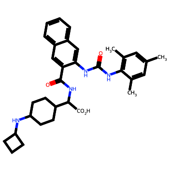 Cc1cc(C)c(NC(=O)Nc2cc3ccccc3cc2C(=O)NC(C(=O)O)C2CCC(NC3CCC3)CC2)c(C)c1